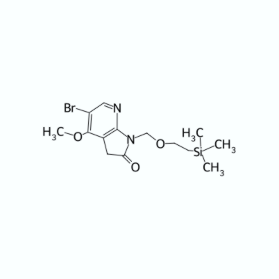 COc1c(Br)cnc2c1CC(=O)N2COCC[Si](C)(C)C